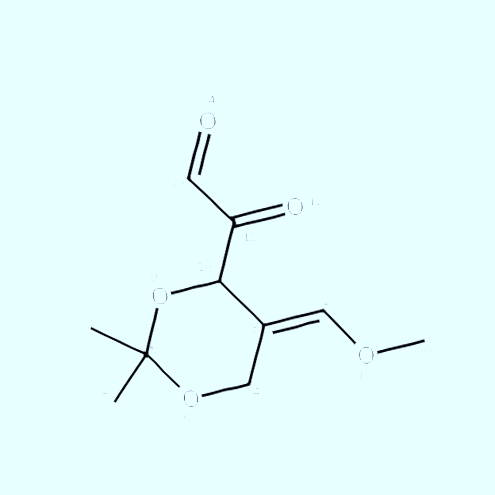 COC=C1COC(C)(C)OC1C(=O)C=O